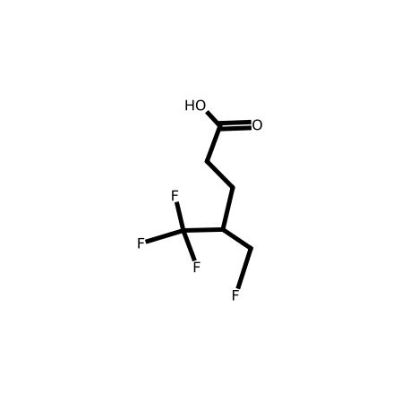 O=C(O)CCC(CF)C(F)(F)F